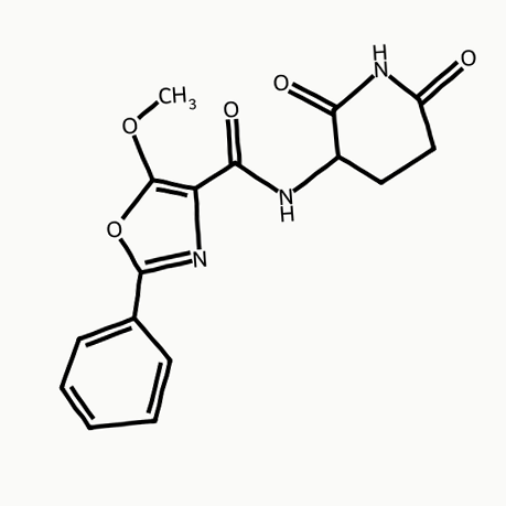 COc1oc(-c2ccccc2)nc1C(=O)NC1CCC(=O)NC1=O